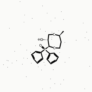 C[C@H]1CCC[C@@H](P(=O)(c2ccccc2)c2ccccc2)[C@H](O)CC1